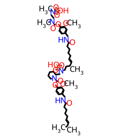 COc1cc(CNC(=O)CCCC/C=C/C(C)CCN(CC2CCCCN2C(=O)Oc2ccc(CNC(=O)CCCC/C=C/C(C)C)cc2OC)S(=O)(=O)O)ccc1OC(=O)N(C)CCN(C)S(=O)(=O)O